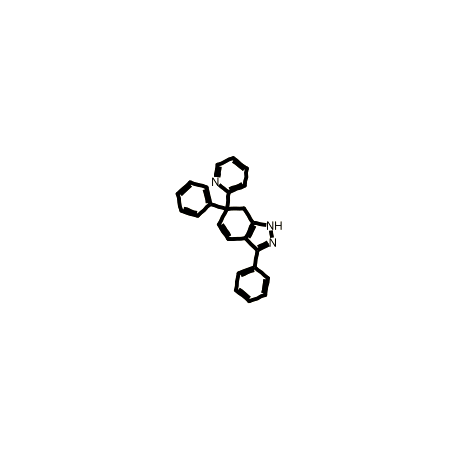 C1=CC(c2ccccc2)(c2ccccn2)Cc2[nH]nc(-c3ccccc3)c21